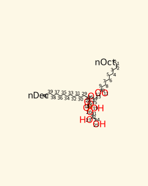 CCCCCCCC/C=C\CCCCCCCC(=O)OC[C@H](COP(=O)(O)OC[C@@H](O)CO)OC(=O)CCCCCCCCCCCCCCCCCCCCC